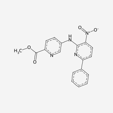 COC(=O)c1ccc(Nc2nc(-c3ccccc3)ccc2[N+](=O)[O-])cn1